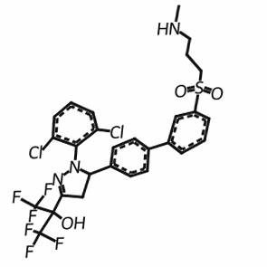 CNCCCS(=O)(=O)c1cccc(-c2ccc(C3CC(C(O)(C(F)(F)F)C(F)(F)F)=NN3c3c(Cl)cccc3Cl)cc2)c1